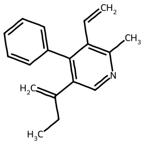 C=Cc1c(C)ncc(C(=C)CC)c1-c1ccccc1